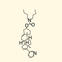 CCCCN(CCCC)C(=O)O[C@H]1CC[C@@]2(C)C(=CC[C@@H]3[C@@H]2CC[C@]2(C)C(c4cccnc4)=CC[C@@H]32)C1